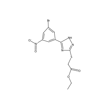 CCOC(=O)CSc1n[nH]c(-c2cc(Br)cc([N+](=O)[O-])c2)n1